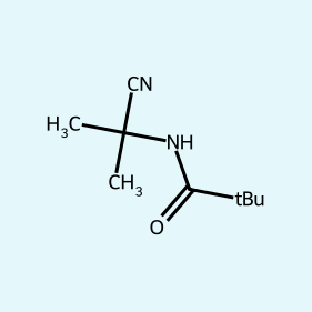 CC(C)(C#N)NC(=O)C(C)(C)C